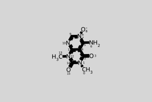 Cn1c(=O)c2c(N)[n+]([O-])cnc2n(C)c1=O